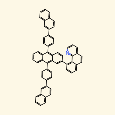 c1ccc2cc(-c3ccc(-c4c5ccccc5c(-c5ccc(-c6ccc7ccccc7c6)cc5)c5cc(-c6cccc7ccc8cccnc8c67)ccc45)cc3)ccc2c1